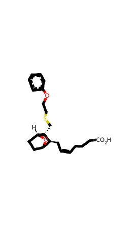 O=C(O)CCC/C=C\C[C@H]1C2CC[C@H](O2)[C@@H]1CSCCOc1ccccc1